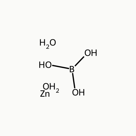 O.O.OB(O)O.[Zn]